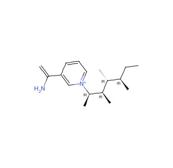 C=C(N)c1ccc[n+]([C@H](C)[C@H](C)[C@H](C)[C@H](C)CC)c1